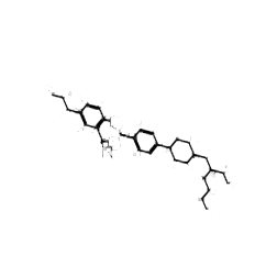 CCCCC(CC)CC1CCC(c2ccc(C(=O)Oc3ccc(CCC)cc3C#N)cc2)CC1